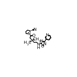 C[N+](C)(CCNc1nc(-c2cccnc2)no1)CC(=O)N1CCC[C@H]1C#N